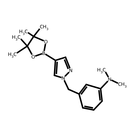 CN(C)c1cccc(Cn2cc(B3OC(C)(C)C(C)(C)O3)cn2)c1